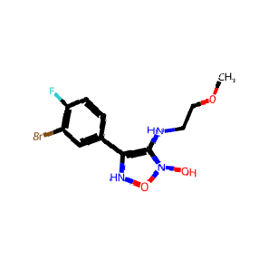 COCCNC1=C(c2ccc(F)c(Br)c2)NON1O